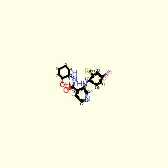 O=C(N[C@@H]1CCCC[C@H]1O)c1ccncc1Nc1ccc(I)cc1F